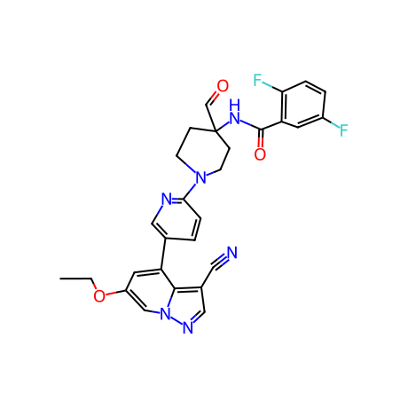 CCOc1cc(-c2ccc(N3CCC(C=O)(NC(=O)c4cc(F)ccc4F)CC3)nc2)c2c(C#N)cnn2c1